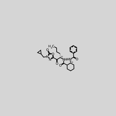 CCCC[C@H](NC(=O)C1CCCC[C@@H]1NC(=O)c1ccccc1)C(=O)c1nn(CC2CC2)c(=O)o1